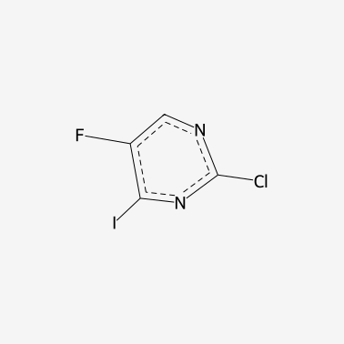 Fc1cnc(Cl)nc1I